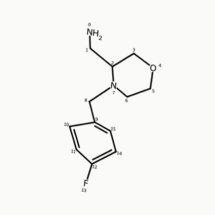 NCC1COCCN1Cc1ccc(F)cc1